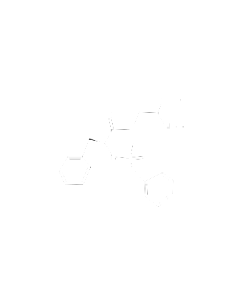 CCCCCCC(CCCCCC)COC(=O)[C@H](Cc1ccccc1)NP(=O)(Cl)Oc1ccccc1